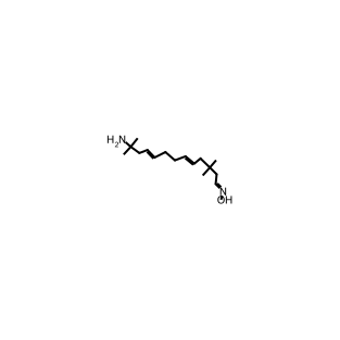 CC(C)(N)CC=CCCC=CCC(C)(C)CC=NO